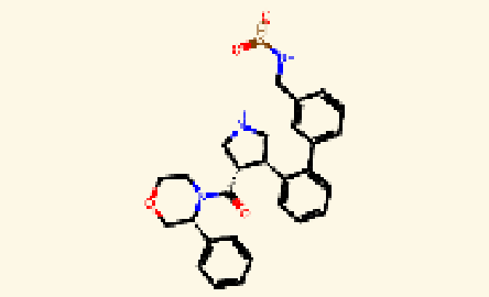 O=C([C@@H]1CNC[C@H]1c1ccccc1-c1cccc(CN[SH](=O)=O)c1)N1CCOC[C@@H]1c1ccccc1